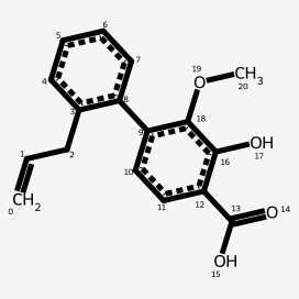 C=CCc1ccccc1-c1ccc(C(=O)O)c(O)c1OC